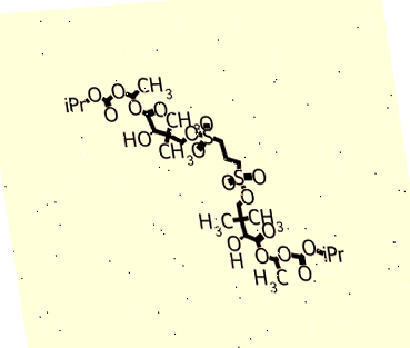 CC(C)OC(=O)OC(C)OC(=O)[C@@H](O)C(C)(C)COS(=O)(=O)CCCS(=O)(=O)OCC(C)(C)[C@H](O)C(=O)OC(C)OC(=O)OC(C)C